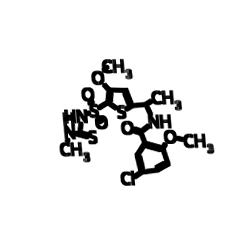 CNC(=S)NS(=O)(=O)c1sc(C(C)NC(=O)c2cc(Cl)ccc2OC)cc1OC